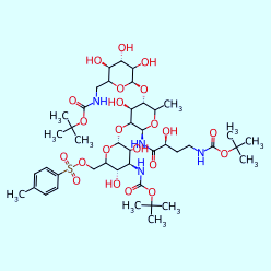 Cc1ccc(S(=O)(=O)OCC2O[C@H](OC3[C@H](NC(=O)[C@@H](O)CCNC(=O)OC(C)(C)C)OC(C)[C@@H](O[C@H]4OC(CNC(=O)OC(C)(C)C)[C@@H](O)[C@H](O)C4O)[C@@H]3O)C(O)[C@@H](NC(=O)OC(C)(C)C)[C@@H]2O)cc1